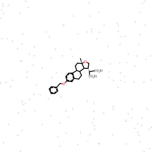 CCOC(=O)C(C(=O)OCC)[C@H]1CO[C@@]2(C)CCC3c4ccc(OCc5ccccc5)cc4CCC3C12